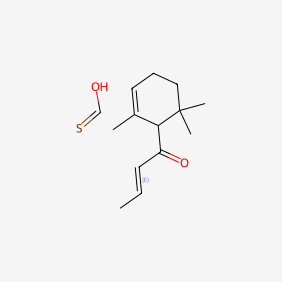 C/C=C/C(=O)C1C(C)=CCCC1(C)C.OC=S